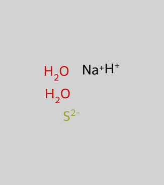 O.O.[H+].[Na+].[S-2]